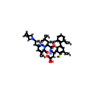 Cc1cc(-c2c(C)cccc2C)cc(C(CC(=O)O)NC(=O)C(CC(C)C)n2nc(CCN3CC4(CC4)C3)cc(C)c2=O)c1F